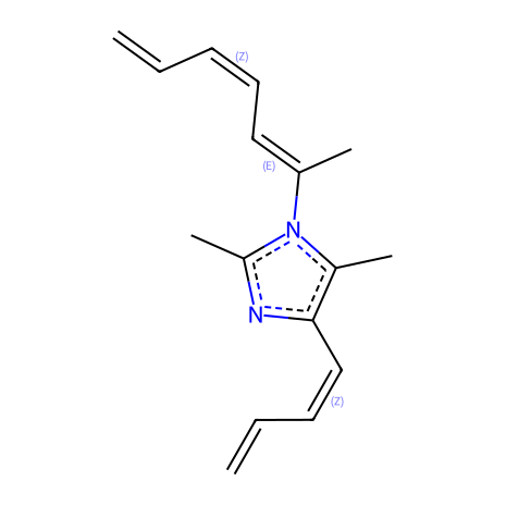 C=C/C=C\C=C(/C)n1c(C)nc(/C=C\C=C)c1C